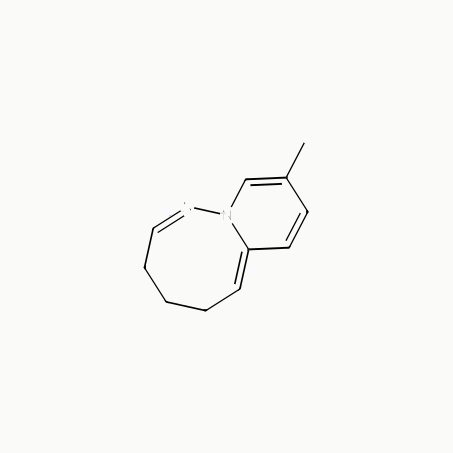 CC1=CN2/N=C\CCC/C=C\2C=C1